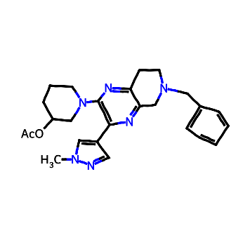 CC(=O)OC1CCCN(c2nc3c(nc2-c2cnn(C)c2)CN(Cc2ccccc2)CC3)C1